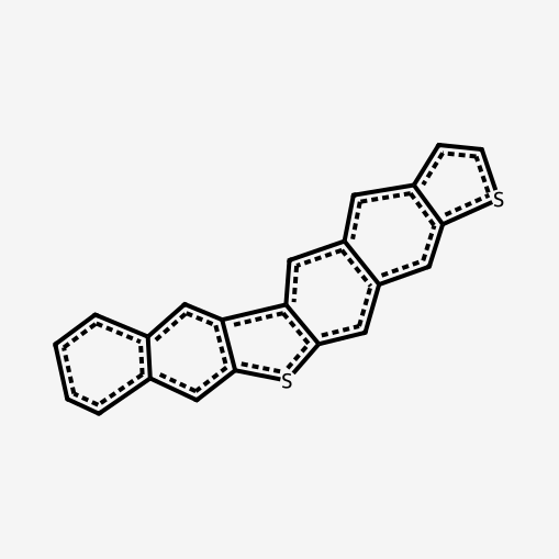 c1ccc2cc3c(cc2c1)sc1cc2cc4sccc4cc2cc13